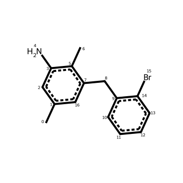 Cc1cc(N)c(C)c(Cc2ccccc2Br)c1